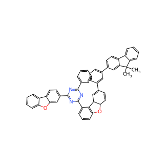 CC1(C)c2ccccc2-c2ccc(-c3cccc(C4=CC5c6c(cccc6-c6nc(-c7ccccc7)nc(-c7ccc8c(c7)oc7ccccc78)n6)OC5C=C4)c3)cc21